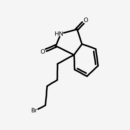 O=C1NC(=O)C2(CCCCBr)C=CC=CC12